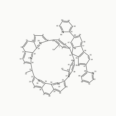 Cc1cc2ccc1-c1ccc3ccc4ccc(nc4c3n1)C(C)c1ccc3ccc4ccc(nc4c3n1)-c1ccc(cc1C)C21c2cc(-c3ccccn3)ccc2-c2ccc(-c3ccccn3)cc21